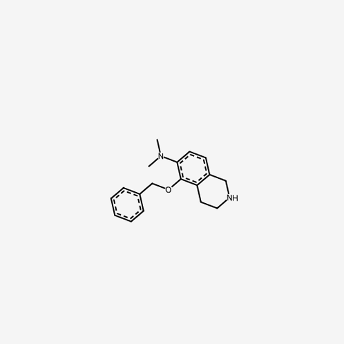 CN(C)c1ccc2c(c1OCc1ccccc1)CCNC2